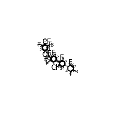 CC1=C(C)C[C@H](c2cc(F)c(-c3cc(F)c(C(F)(F)Oc4cc(F)c(C(F)(F)F)c(F)c4)c(F)c3)c(Cl)c2)C(F)=C1